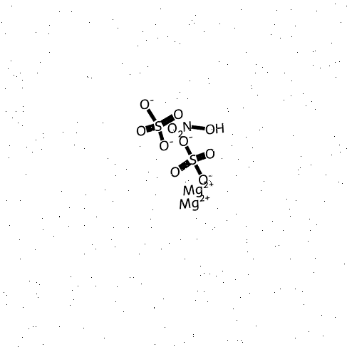 O=S(=O)([O-])[O-].O=S(=O)([O-])[O-].O=[N+]([O-])O.[Mg+2].[Mg+2]